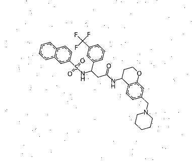 O=C(CC(NS(=O)(=O)c1ccc2ccccc2c1)c1cccc(C(F)(F)F)c1)NC1CCOc2cc(CN3CCCCC3)ccc21